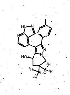 [2H]C([2H])([2H])C1(C([2H])([2H])[2H])CC(O)c2c(-c3ccnc4[nH]ncc34)c(-c3ccc(F)cn3)nn2C1